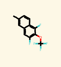 Cc1ccc2c(F)c(OC(F)(F)F)c(F)cc2c1